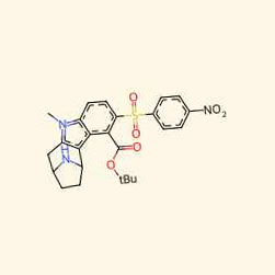 Cn1c2c(c3c(C(=O)OC(C)(C)C)c(S(=O)(=O)c4ccc([N+](=O)[O-])cc4)ccc31)C1CCC(C2)N1